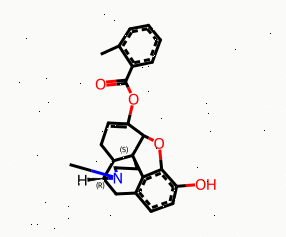 Cc1ccccc1C(=O)OC1=CCC2[C@H]3Cc4ccc(O)c5c4[C@@]2(CCN3C)C1O5